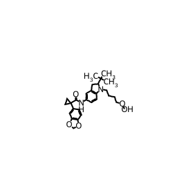 CC(C)(C)C1Cc2cc(NC(=O)C3(c4ccc5c(c4)OCO5)CC3)ccc2N1CCCCOO